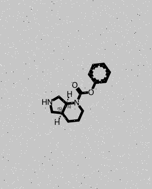 O=C(Oc1ccccc1)N1CCC[C@H]2CNC[C@H]21